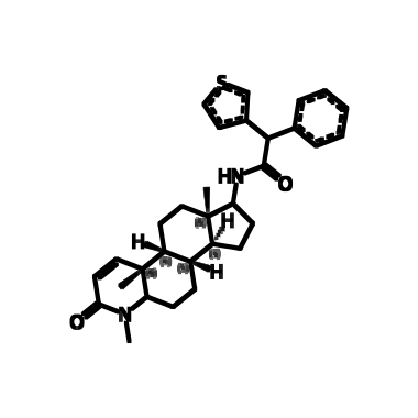 CN1C(=O)C=C[C@@]2(C)C1CC[C@@H]1[C@H]2CC[C@]2(C)C(NC(=O)C(c3ccccc3)c3ccsc3)CC[C@@H]12